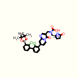 CC1(C)OB(c2cccc(-c3cccc(-c4ccn5c(=O)c(CN(C[C@@H]6CCC(=O)N6)C(=O)O)cnc5c4)c3Cl)c2Cl)OC1(C)C